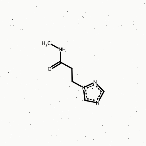 CNC(=O)CCn1cncn1